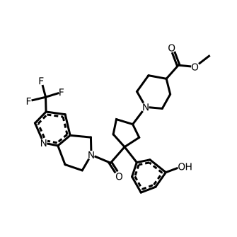 COC(=O)C1CCN(C2CCC(C(=O)N3CCc4ncc(C(F)(F)F)cc4C3)(c3cccc(O)c3)C2)CC1